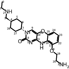 CCNC[C@H]1CC[C@H](n2cc3c(nc2=O)Nc2c(OCCN)cccc2O3)CC1